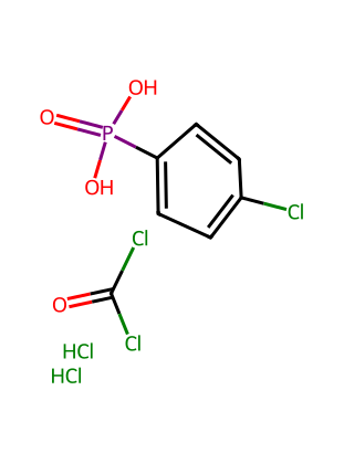 Cl.Cl.O=C(Cl)Cl.O=P(O)(O)c1ccc(Cl)cc1